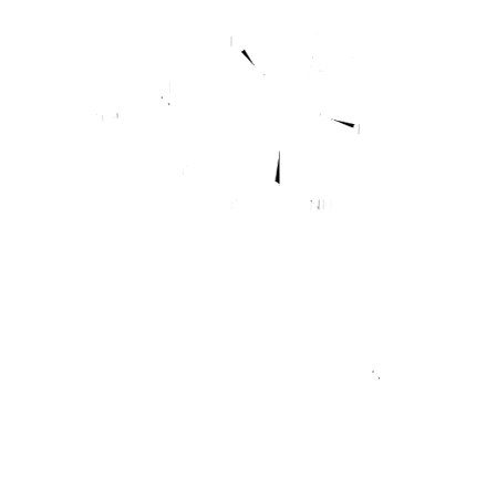 CCCCNC(=O)[C@H]1[C@H](C(=O)NCCCCN2CCCC2)[C@H]2C=C[C@@H]1C21CC1